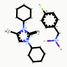 Cc1cn(C2CCCCC2)[c](=[Pt])n1C1CCCCC1.Fc1ccc(CN(I)I)cc1